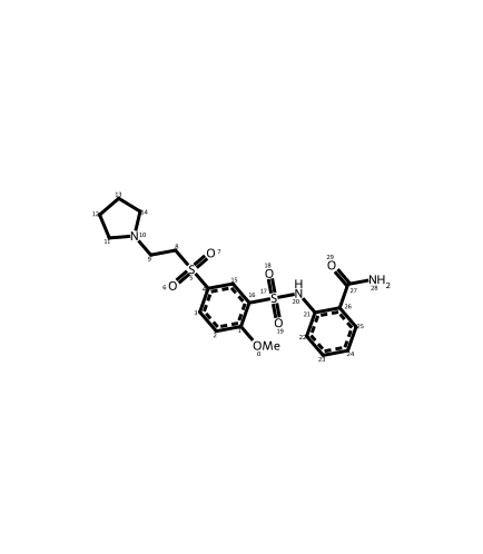 COc1ccc(S(=O)(=O)CCN2CCCC2)cc1S(=O)(=O)Nc1ccccc1C(N)=O